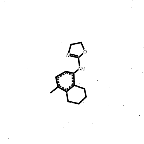 Cc1ccc(NC2=NCCO2)c2c1CCCC2